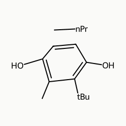 CCCC.Cc1c(O)ccc(O)c1C(C)(C)C